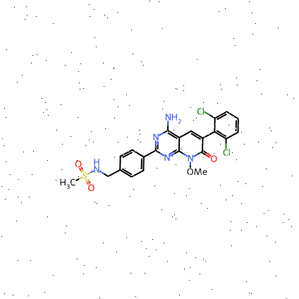 COn1c(=O)c(-c2c(Cl)cccc2Cl)cc2c(N)nc(-c3ccc(CNS(C)(=O)=O)cc3)nc21